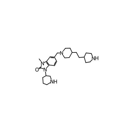 Cn1c(=O)n(C2CCCNC2)c2ccc(CN3CCC(CCC4CCNCC4)CC3)cc21